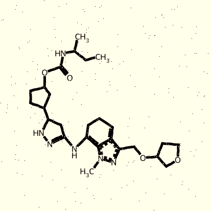 CCC(C)NC(=O)OC1CCC(C2CC(NC3=c4c(c(COC5CCOC5)nn4C)=CCC3)=NN2)C1